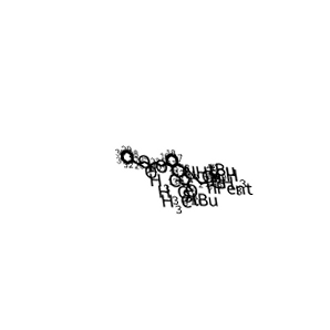 CCCCC[C@@H](CC[C@H]1C(O[Si](C)(C)C(C)(C)C)C[C@]2(C)Cc3c(cccc3OCC(=O)OCc3ccccc3)C[C@]12N)O[Si](C)(C)C(C)(C)C